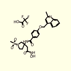 Cc1cc(COc2ccc(C(=O)NC3(CC(=O)NO)CCN(S(C)(=O)=O)C3)cc2)c2ccccc2n1.O=C(O)C(F)(F)F